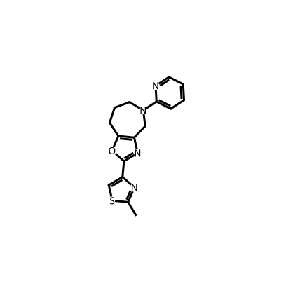 Cc1nc(-c2nc3c(o2)CCCN(c2ccccn2)C3)cs1